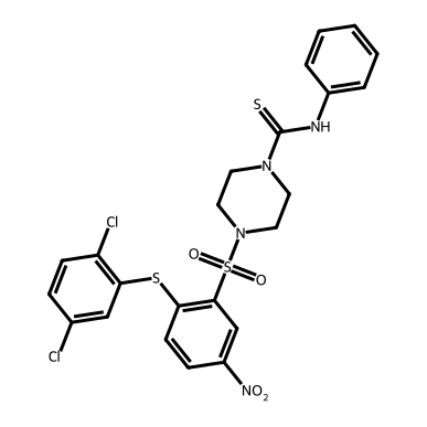 O=[N+]([O-])c1ccc(Sc2cc(Cl)ccc2Cl)c(S(=O)(=O)N2CCN(C(=S)Nc3ccccc3)CC2)c1